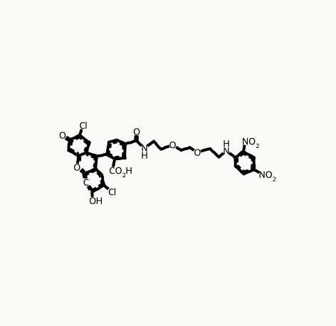 O=C(NCCOCCOCCNc1ccc([N+](=O)[O-])cc1[N+](=O)[O-])c1ccc(-c2c3cc(Cl)c(=O)cc-3oc3cc(O)c(Cl)cc23)c(C(=O)O)c1